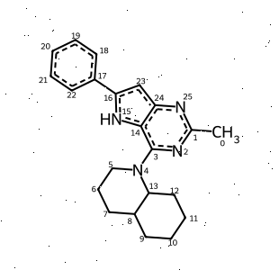 Cc1nc(N2CCCC3CCCCC32)c2[nH]c(-c3ccccc3)cc2n1